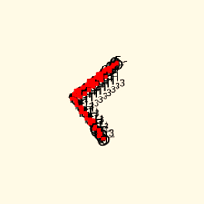 C[n+]1ccccc1.C[n+]1ccccc1.C[n+]1ccccc1.C[n+]1ccccc1.C[n+]1ccccc1.C[n+]1ccccc1.C[n+]1ccccc1.C[n+]1ccccc1.C[n+]1ccccc1.C[n+]1ccccc1.C[n+]1ccccc1.C[n+]1ccccc1.O=P([O-])([O-])F.O=P([O-])([O-])F.O=P([O-])([O-])F.O=P([O-])([O-])F.O=P([O-])([O-])F.O=P([O-])([O-])F